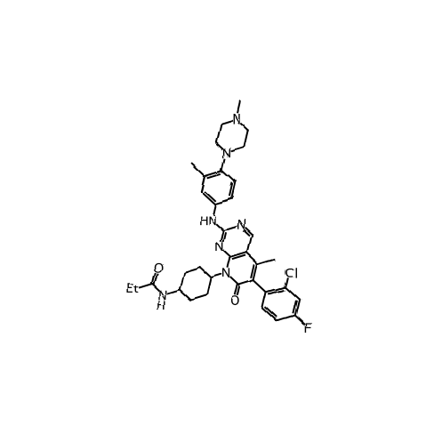 CCC(=O)NC1CCC(n2c(=O)c(-c3ccc(F)cc3Cl)c(C)c3cnc(Nc4ccc(N5CCN(C)CC5)c(C)c4)nc32)CC1